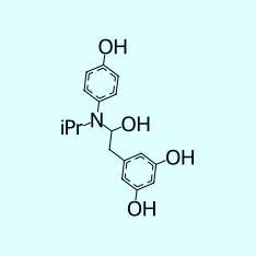 CC(C)N(c1ccc(O)cc1)C(O)Cc1cc(O)cc(O)c1